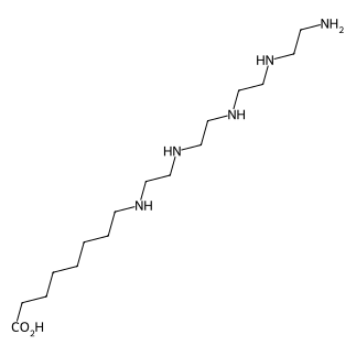 NCCNCCNCCNCCNCCCCCCCC(=O)O